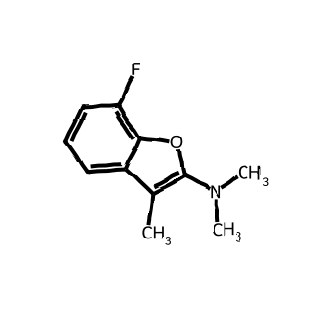 Cc1c(N(C)C)oc2c(F)cccc12